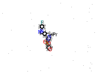 Cc1cc2c(cnn2-c2ccc(F)cc2)cc1[C@H]1CN(S(=O)(=O)CC2CCOCC2)CCN1CC(C)C